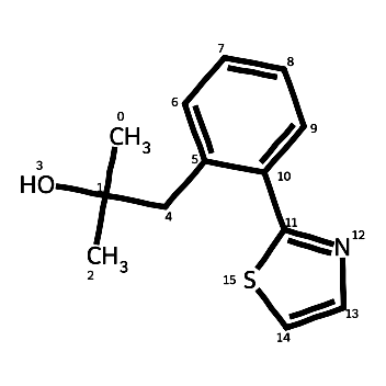 CC(C)(O)Cc1ccccc1-c1nccs1